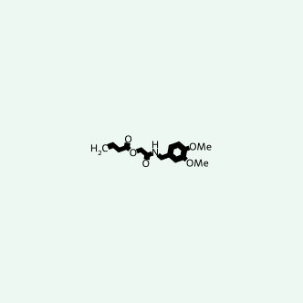 C=CCC(=O)OCC(=O)NCc1ccc(OC)c(OC)c1